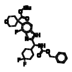 CC(C)(C)OC(=O)C1(c2ccc3[nH]c([C@@H](NC(=O)OCc4ccccc4)C4CCC(F)(F)CC4)nc3c2F)CCOCC1